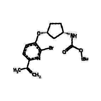 C=C(C)c1ccc(O[C@@H]2CC[C@H](NC(=O)OC(C)(C)C)C2)c(Br)n1